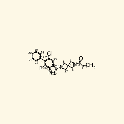 C=CC(=O)N1CC2(C1)CN(c1snc3c(F)c(-c4ccccc4)c(Cl)cc13)C2